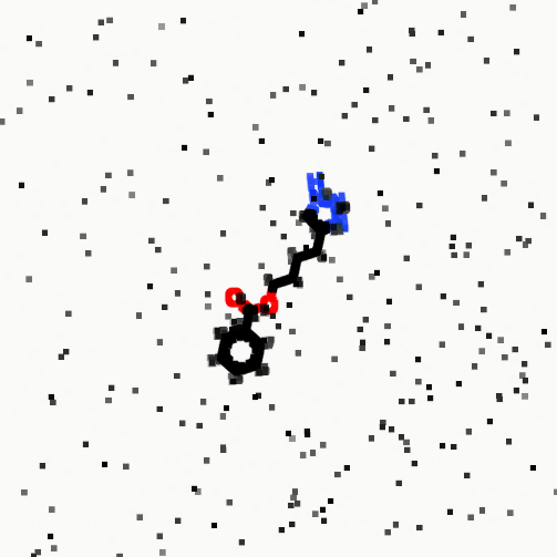 O=C(OCCCCc1c[nH]nn1)c1ccccc1